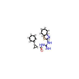 N=C(NC(=O)[C@@H]1C[C@H]1c1ccccc1)Nc1nc2ccccc2s1